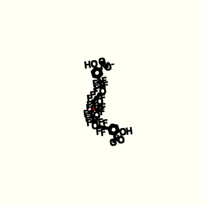 O=[N+]([O-])c1cc(C(F)(F)C(F)(F)OC(F)(F)C(F)(OC(F)(F)C(F)(F)OC(F)(C(F)(F)F)C(F)(F)OC(F)(F)C(F)(F)c2ccc(O)c([N+](=O)[O-])c2)C(F)(F)F)ccc1O